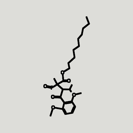 CCCCCCCCCCOC(=O)C(C)(P=O)C(C(=O)c1c(OC)cccc1OC)C(C)C